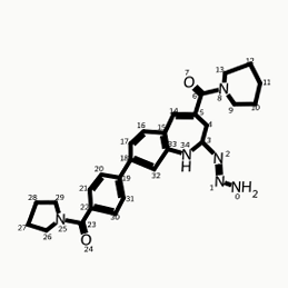 NN=NC1CC(C(=O)N2CCCCC2)=Cc2ccc(-c3ccc(C(=O)N4CCCC4)cc3)cc2N1